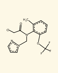 Cc1cccc(OC(F)(F)F)c1N(Cn1cccn1)C(=O)CCl